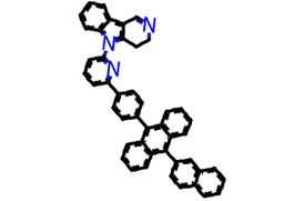 C1=NCCc2c1c1ccccc1n2-c1cccc(-c2ccc(-c3c4ccccc4c(-c4ccc5ccccc5c4)c4ccccc34)cc2)n1